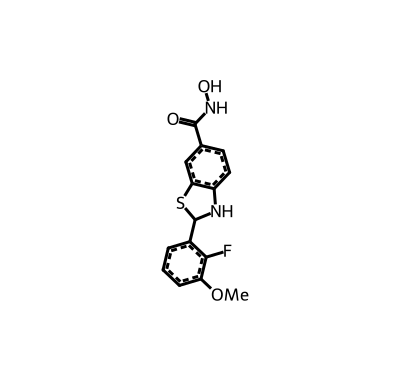 COc1cccc(C2Nc3ccc(C(=O)NO)cc3S2)c1F